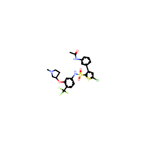 CC(=O)Nc1cccc(-c2cc(Cl)sc2S(=O)(=O)Nc2ccc(C(F)(F)F)c(OC3CCN(C)C3)c2)c1